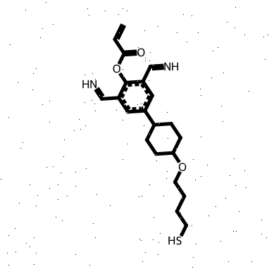 C=CC(=O)Oc1c(C=N)cc(C2CCC(OCCCCS)CC2)cc1C=N